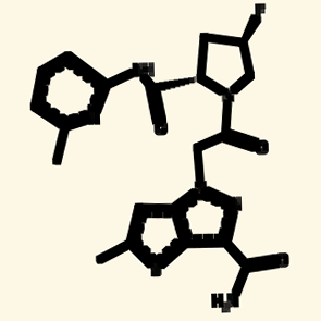 Cc1cccc(NC(=O)[C@@H]2C[C@@H](F)CN2C(=O)Cn2nc(C(N)=O)c3sc(C)cc32)n1